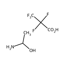 CC(N)O.O=C(O)C(F)(F)C(F)(F)F